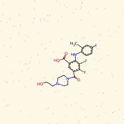 Cc1cc(I)ccc1Nc1c(C(=O)O)cc(C(=O)N2CCN(CCO)CC2)c(F)c1F